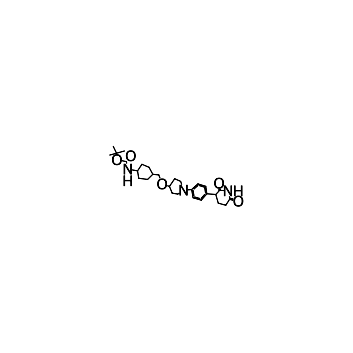 CC(C)(C)OC(=O)NC1CCC(COC2CCN(c3ccc(C4CCC(=O)NC4=O)cc3)CC2)CC1